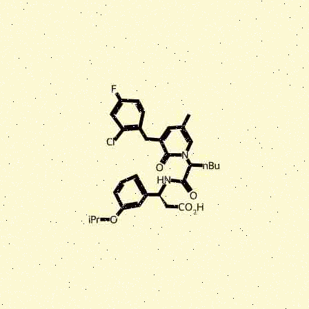 CCCCC(C(=O)N[C@@H](CC(=O)O)c1cccc(OC(C)C)c1)n1cc(C)cc(Cc2ccc(F)cc2Cl)c1=O